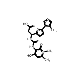 Cc1cscc1-c1ccc(C(CC(=O)O)NC(=O)Nc2c(O)cc(C)n(C)c2=O)s1